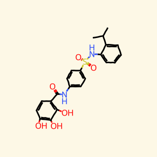 CC(C)c1ccccc1NS(=O)(=O)c1ccc(NC(=O)c2ccc(O)c(O)c2O)cc1